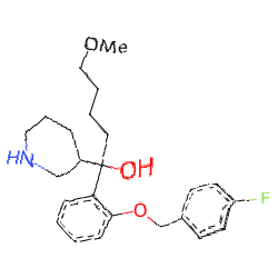 COCCCCC(O)(c1ccccc1OCc1ccc(F)cc1)C1CCCNC1